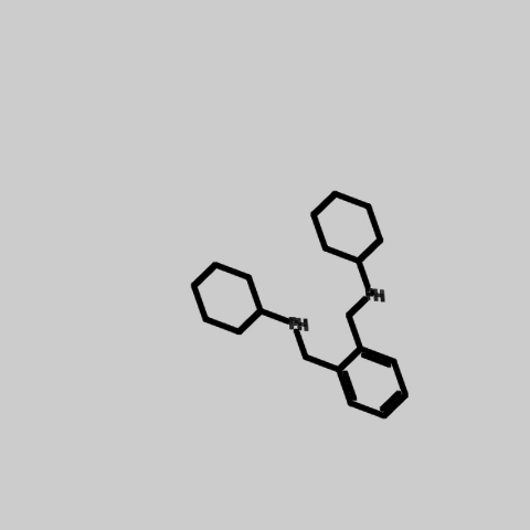 c1ccc(CPC2CCCCC2)c(CPC2CCCCC2)c1